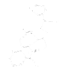 CCN(CCN(C)c1cnccn1)c1cc(I)ccc1NC(=O)c1cccnc1